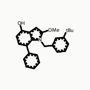 COc1cc2c(O)ccc(-c3ccccc3)c2n1Cc1cccc(C(C)(C)C)c1